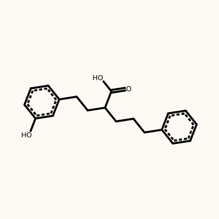 O=C(O)C(CCCc1ccccc1)CCc1cccc(O)c1